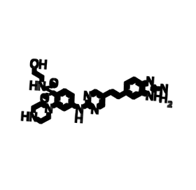 Nc1nc2ccc(/C=C/c3cnc(Nc4ccc(S(=O)(=O)NCCO)c(N5CCNCC5)c4)nc3)cc2[nH]1